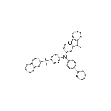 C=C/C(=C\c1oc2ccccc2c1C)N(c1ccc(-c2ccccc2)cc1)c1ccc(C(C)(C)c2ccc3ccccc3c2)cc1